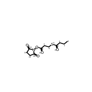 CCCC(=O)SCCC(=O)ON1C(=O)CCC1=O